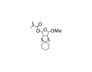 C=C(C)C(=O)OC1OC(OC)C2SC3(CCCCC3)SC12